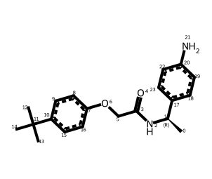 C[C@@H](NC(=O)COc1ccc(C(C)(C)C)cc1)c1ccc(N)cc1